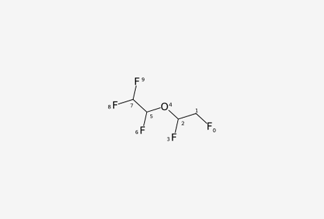 FCC(F)OC(F)C(F)F